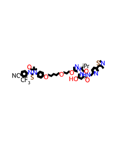 Cc1ncsc1-c1ccc(CNC(=O)[C@@H]2C[C@@H](O)CN2C(=O)C(C(C)C)n2cc(OCCCOCCCCCOc3ccc(N4C(=S)N(c5ccc(C#N)c(C(F)(F)F)c5)C(=O)C4(C)C)cc3)cn2)nc1